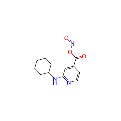 O=NOC(=O)c1ccnc(NC2CCCCC2)c1